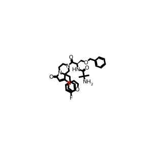 CC(C)(N)C(=O)N[C@H](COCc1ccccc1)C(=O)N1CCN2C(=O)C=C(N3CCOCC3)C2(Cc2ccc(F)cc2)C1